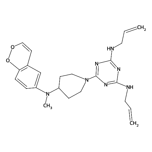 C=CCNc1nc(NCC=C)nc(N2CCC(N(C)c3ccc4c(c3)C=COO4)CC2)n1